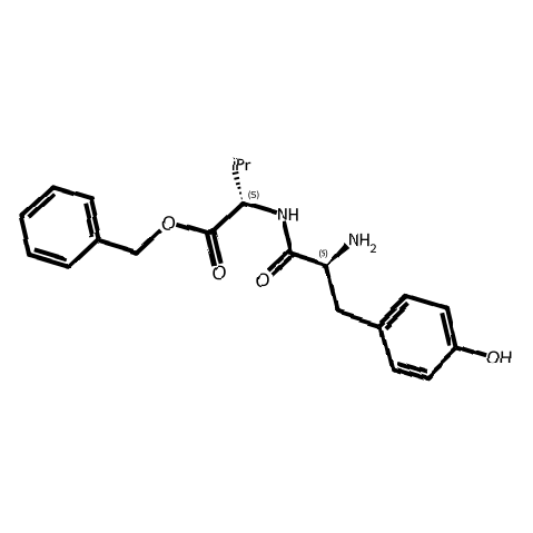 CC(C)[C@H](NC(=O)[C@@H](N)Cc1ccc(O)cc1)C(=O)OCc1ccccc1